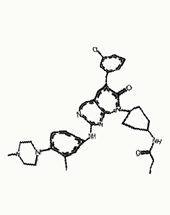 CCC(=O)NC1CCC(n2c(=O)c(-c3cccc(Cl)c3)cc3cnc(Nc4ccc(N5CCN(C)CC5)c(C)c4)nc32)CC1